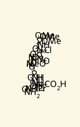 COC(=O)c1cc2c3c(cc(OC(=O)N(C)CCN(C)C(=O)OCc4ccc(NC(=O)[C@H](CCCNC(N)=O)NC(=O)[C@@H](NC(=O)CCC(=O)O)C(C)C)cc4)c2[nH]1)N(C(=O)c1cc2cc(OC)c(OC)c(OC)c2[nH]1)C[C@H]3CCl